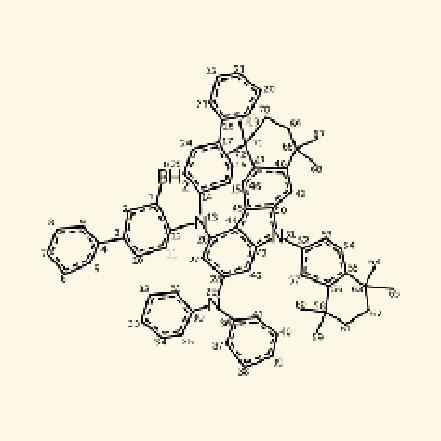 Bc1cc(-c2ccccc2)ccc1N(c1ccc(-c2ccccc2)cc1)c1cc(N(c2ccccc2)c2ccccc2)cc2c1c1cc3c(cc1n2-c1ccc2c(c1)C(C)(C)CCC2(C)C)C(C)(C)CCC3(C)C